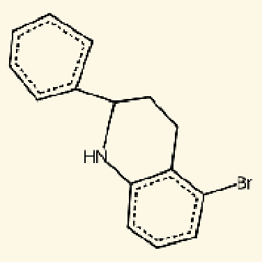 Brc1cccc2c1CCC(c1ccccc1)N2